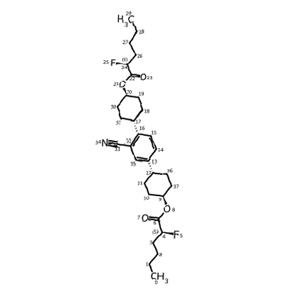 CCCC[C@H](F)C(=O)O[C@H]1CC[C@H](c2ccc([C@H]3CC[C@H](OC(=O)[C@@H](F)CCCC)CC3)c(C#N)c2)CC1